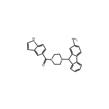 Nc1ccc2c(c1)C(N1CCN(C(=O)c3ccc4[nH]ccc4c3)CC1)c1ccccc1-2